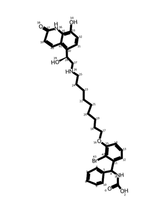 O=C(O)NC(c1ccccc1)c1cccc(OCCCCCCCCCNC[C@@H](O)c2ccc(O)c3[nH]c(=O)ccc23)c1Br